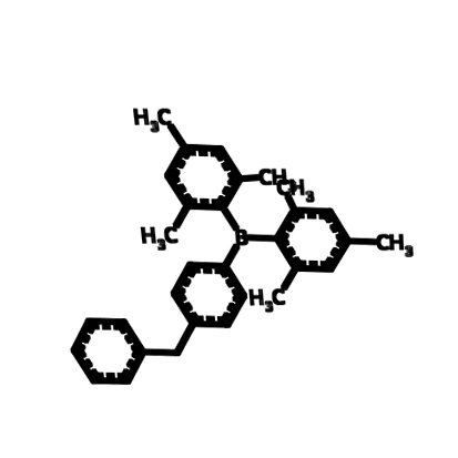 Cc1cc(C)c(B(c2ccc(Cc3ccccc3)cc2)c2c(C)cc(C)cc2C)c(C)c1